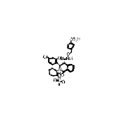 CS(=O)(=O)N[C@H]1CCCC[C@@H]1N1C(=O)c2ccccc2[C@@H](C(=O)NOCc2ccc(C(=O)O)cc2)[C@@H]1c1ccc(Cl)cc1Cl